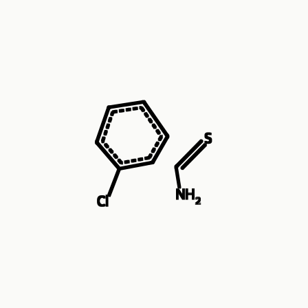 Clc1ccccc1.NC=S